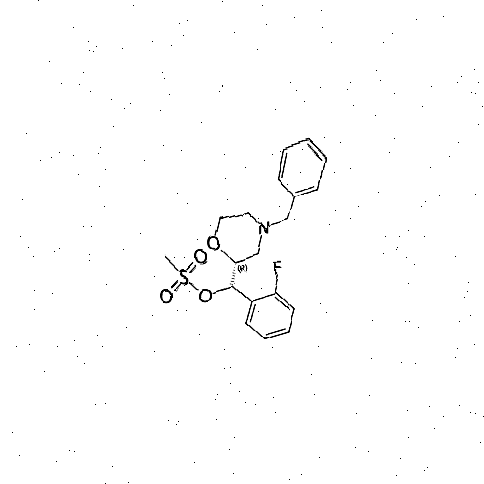 CS(=O)(=O)OC(c1ccccc1F)[C@H]1CN(Cc2ccccc2)CCO1